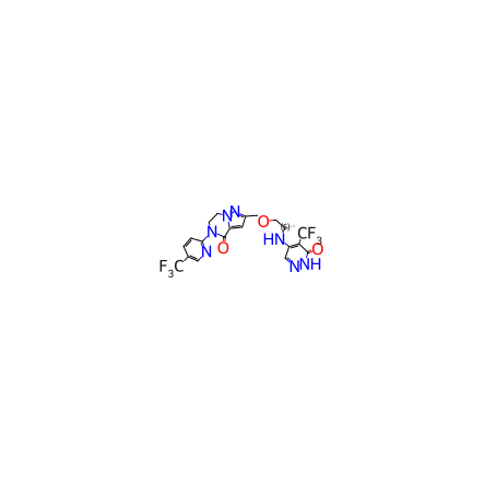 C[C@@H](COCc1cc2n(n1)CCN(c1ccc(C(F)(F)F)cn1)C2=O)Nc1cn[nH]c(=O)c1C(F)(F)F